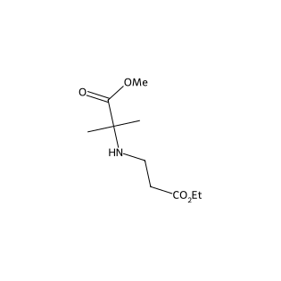 CCOC(=O)CCNC(C)(C)C(=O)OC